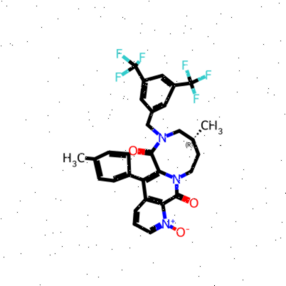 Cc1ccc(-c2c3n(c(=O)c4c2ccc[n+]4[O-])CC[C@@H](C)CN(Cc2cc(C(F)(F)F)cc(C(F)(F)F)c2)C3=O)cc1